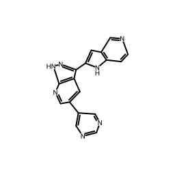 c1cc2[nH]c(-c3n[nH]c4ncc(-c5cncnc5)cc34)cc2cn1